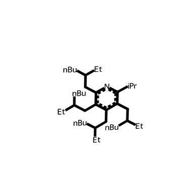 CCCCC(CC)Cc1nc(C(C)C)c(CC(CC)CCCC)c(CC(CC)CCCC)c1CC(CC)CCCC